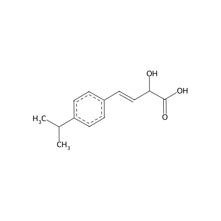 CC(C)c1ccc(/C=C/C(O)C(=O)O)cc1